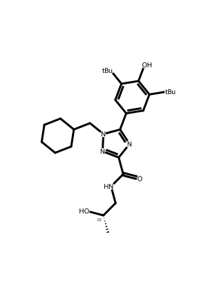 C[C@H](O)CNC(=O)c1nc(-c2cc(C(C)(C)C)c(O)c(C(C)(C)C)c2)n(CC2CCCCC2)n1